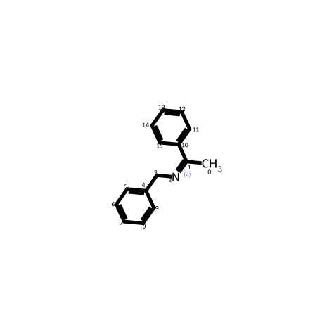 C/C(=N/Cc1ccccc1)c1ccccc1